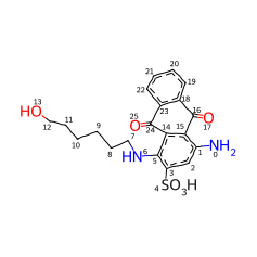 Nc1cc(S(=O)(=O)O)c(NCCCCCCO)c2c1C(=O)c1ccccc1C2=O